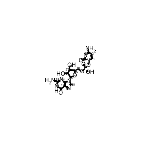 Nc1ccn(OP(=O)(O)OC[C@H]2O[C@@H](n3cnc4c(=O)[nH]c(N)nc43)C(O)C2O)c(=O)n1